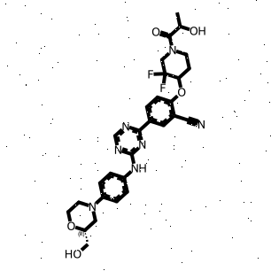 CC(O)C(=O)N1CCC(Oc2ccc(-c3ncnc(Nc4ccc(N5CCO[C@@H](CO)C5)cc4)n3)cc2C#N)C(F)(F)C1